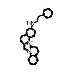 c1ccc(CCNc2ccc3c(ccc4cn5c6ccccc6ccc5[n+]43)c2)cc1